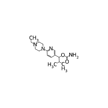 CCN1CCN(c2ccc(C(OC(N)=O)C(C)C)cn2)CC1